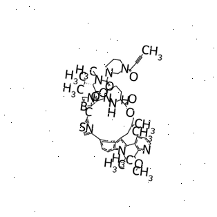 CC#CC(=O)N1CCCN(C(=O)N(C)[C@H](C(=O)N2C=B[C@@]23Cc2nc(cs2)-c2ccc4c(c2)c(c(-c2cccnc2[C@H](C)OC)n4CC)CC(C)(C)COC(=O)[C@@H]2CCCN(N2)C3=O)C(C)C)C1